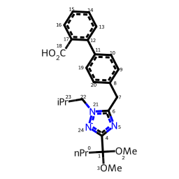 CCCC(OC)(OC)c1nc(Cc2ccc(-c3ccccc3C(=O)O)cc2)n(CC(C)C)n1